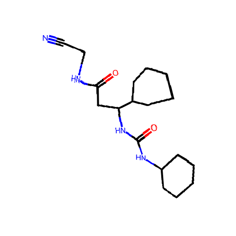 N#CCNC(=O)CC(NC(=O)NC1CCCCC1)C1CCCCC1